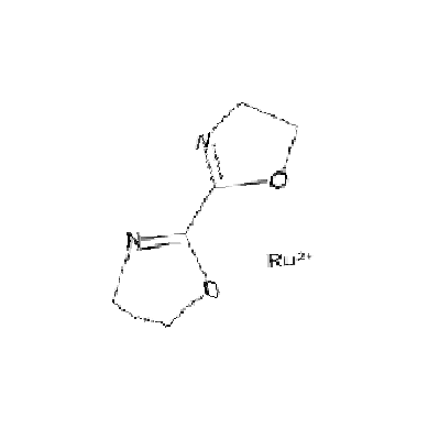 C1COC(C2=NCCO2)=N1.[Ru+2]